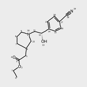 CCOC(=O)CC1CCCN(C[C@@H](O)c2ccc(C#N)cc2)C1